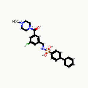 CN1CCN(C(=O)c2cc(F)cc(CNS(=O)(=O)c3ccc(-c4ccccc4)cc3)c2)CC1